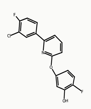 Oc1cc(Oc2cccc(-c3ccc(F)c(Cl)c3)n2)ccc1F